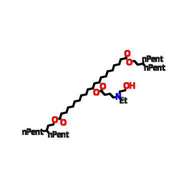 CCCCCC(CCCCC)CCOC(=O)CCCCCCCCCC(CCCCCCCCCC(=O)OCCC(CCCCC)CCCCC)OC(=O)CCCN(CC)CCO